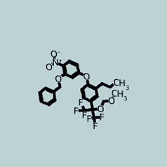 CCCc1cc(C(OCOC)(C(F)(F)F)C(F)(F)F)ccc1Oc1ccc([N+](=O)[O-])c(OCc2ccccc2)c1